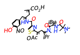 CC[C@H](C)[C@H](NC(=O)C(C)(C)N(C)C)C(=O)N(C)[C@H](C[C@@H](OC(C)=O)c1nc(C(=O)N[C@@H](Cc2ccc(O)c(N=O)c2)C[C@H](C)C(=O)O)cs1)C(C)C